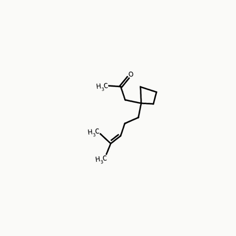 CC(=O)CC1(CCC=C(C)C)CCC1